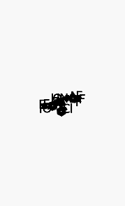 CC(C)(NC1=CC(c2ccccc2Cl)N(c2ccc(OC(F)(F)F)cc2)C1=O)c1ccc(C(F)(F)F)nc1